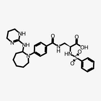 O=C(NC[C@H](NS(=O)(=O)c1ccccc1)C(=O)O)c1ccc(N2CCCCCC2NC2=NCCCN2)cc1